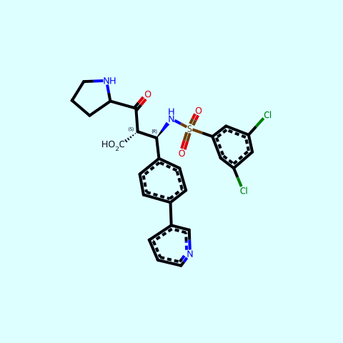 O=C(O)[C@H](C(=O)C1CCCN1)[C@@H](NS(=O)(=O)c1cc(Cl)cc(Cl)c1)c1ccc(-c2cccnc2)cc1